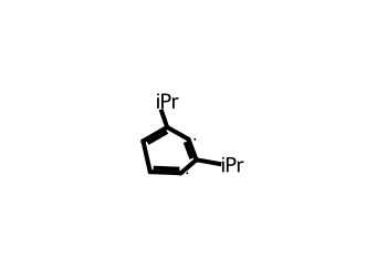 CC(C)c1[c]ccc(C(C)C)[c]1